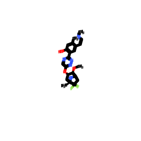 C=N/C=C\c1cc(-c2ncc(O[C@H]3C[C@@]4(C)NC(CC4(F)F)[C@@H]3OC)nn2)c(O)cc1C